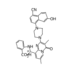 Cc1cc([C@@H](C)Nc2ccccc2C(=O)O)c2nc(N3CCN(c4ccc(C#N)c5ccc(O)cc45)CC3)c(C)c(=O)n2c1